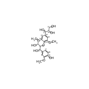 COc1cc(C(O)C(CO)Oc2c(OC)cc(C(O)C(O)CO)cc2OC)ccc1O